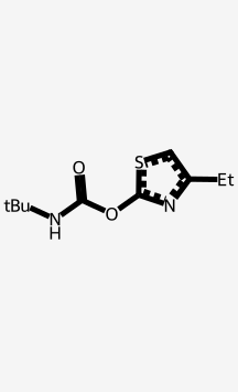 CCc1csc(OC(=O)NC(C)(C)C)n1